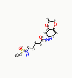 CC1COC2=CCC(NC(=O)CCCCN[S+]([O-])C(C)(C)C)CC2O1